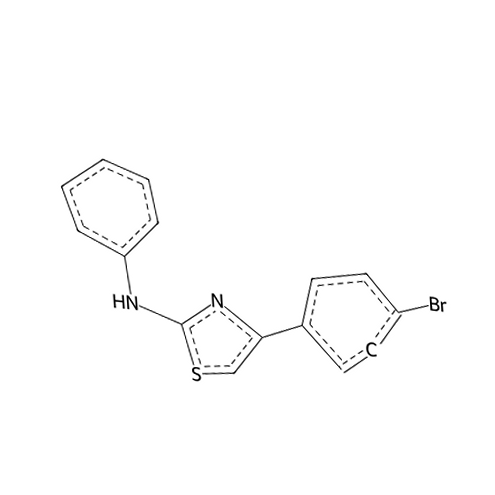 Brc1ccc(-c2csc(Nc3ccccc3)n2)cc1